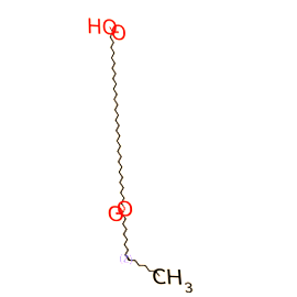 CCCCCC/C=C\CCCCCCCC(=O)OCCCCCCCCCCCCCCCCCCCCCCCCCCCCCCCCCC(=O)O